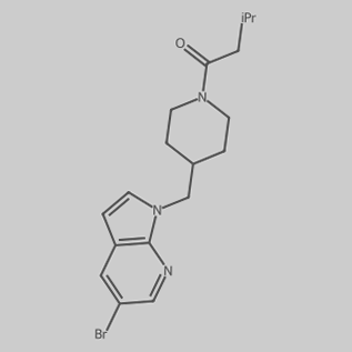 CC(C)CC(=O)N1CCC(Cn2ccc3cc(Br)cnc32)CC1